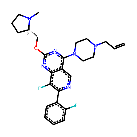 C=CCN1CCN(c2nc(OC[C@@H]3CCCN3C)nc3c(F)c(-c4ccccc4F)ncc23)CC1